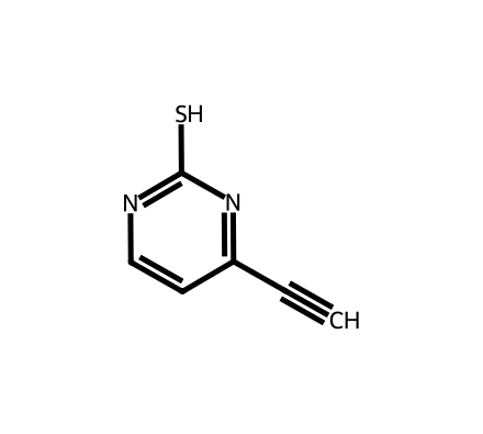 C#Cc1ccnc(S)n1